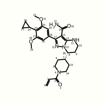 C=CC(=O)N1CCC([C@H]2CCNc3c(C(N)=O)c(-c4cc(OC)c(C5CC5)c(OC)c4)nn32)CC1